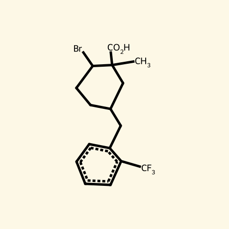 CC1(C(=O)O)CC(Cc2ccccc2C(F)(F)F)CCC1Br